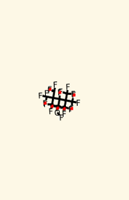 FOC(F)(F)C(F)(C(C(F)(F)F)(C(F)(F)F)C(F)(F)F)C(C(F)(F)F)(C(F)(F)F)C(F)(F)F